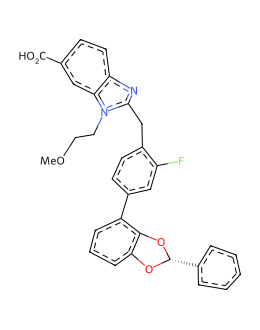 COCCn1c(Cc2ccc(-c3cccc4c3O[C@H](c3ccccc3)O4)cc2F)nc2ccc(C(=O)O)cc21